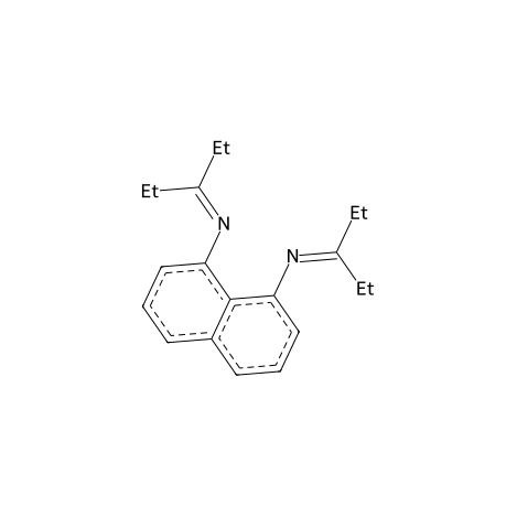 CCC(CC)=Nc1cccc2cccc(N=C(CC)CC)c12